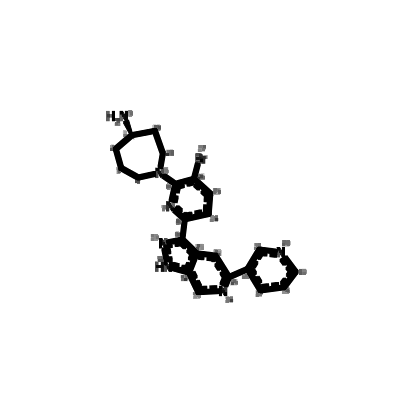 N[C@@H]1CCCN(c2nc(-c3n[nH]c4cnc(-c5cccnc5)cc34)ccc2Br)CC1